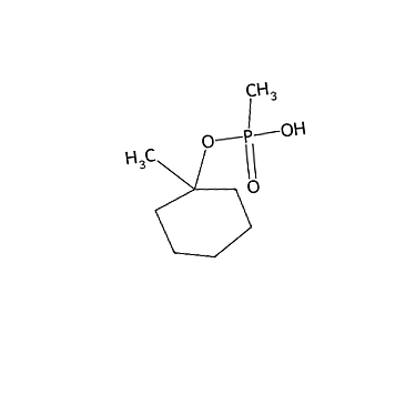 CC1(OP(C)(=O)O)CCCCC1